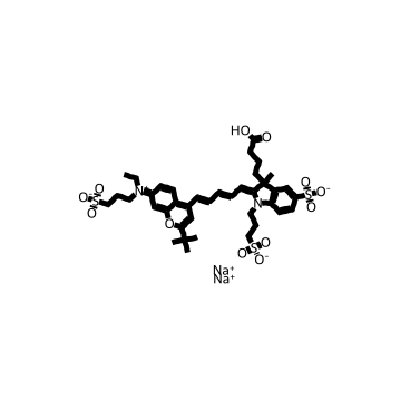 CC[N+](CCCS(=O)(=O)[O-])=c1ccc2c(C=CC=CC=C3N(CCCS(=O)(=O)[O-])c4ccc(S(=O)(=O)[O-])cc4C3(C)CCCC(=O)O)cc(C(C)(C)C)oc-2c1.[Na+].[Na+]